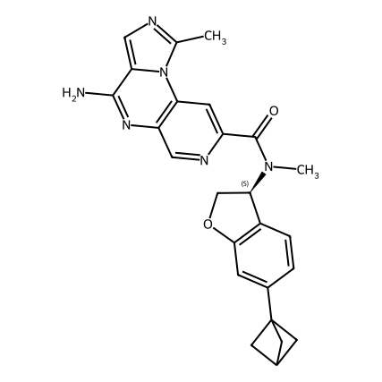 Cc1ncc2c(N)nc3cnc(C(=O)N(C)[C@@H]4COc5cc(C67CC(C6)C7)ccc54)cc3n12